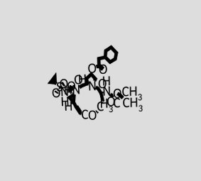 CC(C)(C)OC(=O)N[C@H]1CCCOC/C=C\[C@@H]2C[C@@]2(C(=O)NS(=O)(=O)C2CC2)NC(=O)[C@@H]2C[C@@H](OC(=O)CC3CCCCC3)CN2C1=O